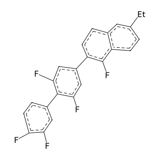 CCc1ccc2c(F)c(-c3cc(F)c(-c4ccc(F)c(F)c4)c(F)c3)ccc2c1